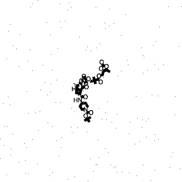 Cc1oc(=O)oc1COC(=O)C(C)(C)COS(=O)(=O)ON1C(=O)C2[C@@H](C[C@H]2C(=O)NC2CCN(C(=O)OC(C)(C)C)CC2)[C@@H]1C